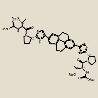 COC(=O)NC(C(=O)N1CCC[C@H]1c1ncc(-c2cc3c4c(c2)CCc2cc(-c5cnc([C@@H]6CCCN6C(=O)[C@@H](NC(=O)OC)[C@@H](C)OC)[nH]5)cc(c2-4)CC3)[nH]1)[C@@H](C)OC